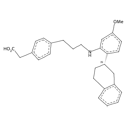 COc1ccc([C@H]2CCc3c[c]ccc3C2)c(NCCCc2ccc(CC(=O)O)cc2)c1